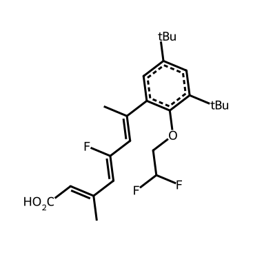 CC(=CC(=O)O)C=C(F)C=C(C)c1cc(C(C)(C)C)cc(C(C)(C)C)c1OCC(F)F